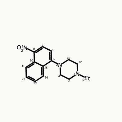 CCN1CCN(c2ccc([N+](=O)[O-])c3ccccc23)CC1